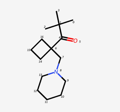 CC(C)(C)C(=O)C1(CN2CCCCC2)CCC1